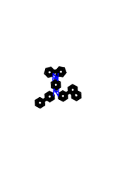 c1ccc(-c2ccc(N(c3ccc(-n4c5ccccc5c5ccccc54)cc3)c3cccc(-c4cccc5ccccc45)c3)cc2)cc1